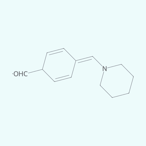 O=[C]C1C=CC(=CN2CCCCC2)C=C1